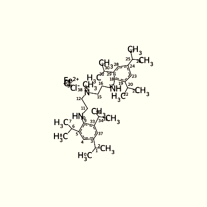 CC(C)c1cc(C(C)C)c(NCCN(C)CCNc2c(C(C)C)cc(C(C)C)cc2C(C)C)c(C(C)C)c1.[Cl-].[Cl-].[Fe+2]